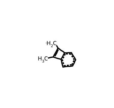 [CH2]C1=C(C)c2ccccc21